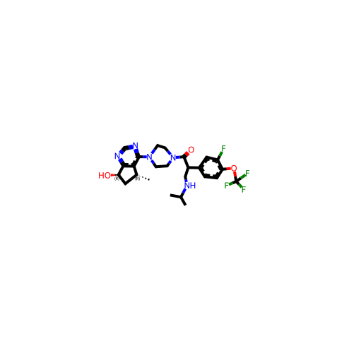 CC(C)NCC(C(=O)N1CCN(c2ncnc3c2[C@H](C)C[C@H]3O)CC1)c1ccc(OC(F)(F)F)c(F)c1